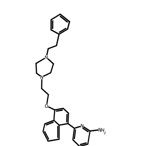 Nc1cccc(-c2ccc(OCCN3CCN(CCc4ccccc4)CC3)c3ccccc23)n1